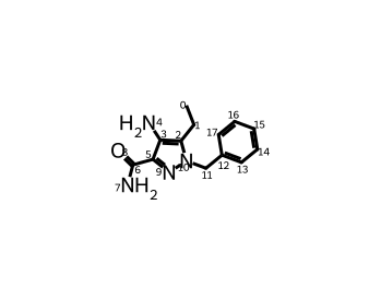 CCc1c(N)c(C(N)=O)nn1Cc1ccccc1